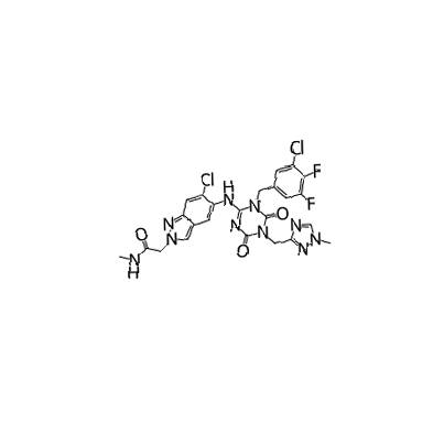 CNC(=O)Cn1cc2cc(Nc3nc(=O)n(Cc4ncn(C)n4)c(=O)n3Cc3cc(F)c(F)c(Cl)c3)c(Cl)cc2n1